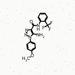 COc1ccc(-n2nnc(C(=O)Nc3ccccc3C(F)(F)F)c2N)cc1